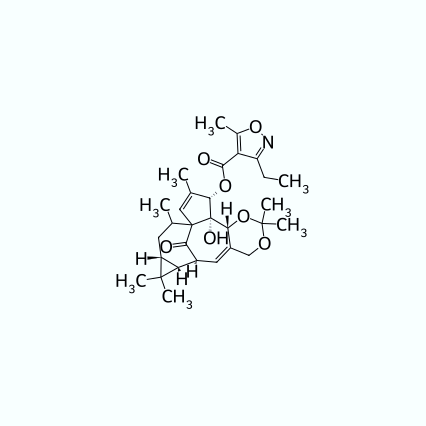 CCc1noc(C)c1C(=O)O[C@H]1C(C)=CC23C(=O)[C@@H](C=C4COC(C)(C)O[C@H]4[C@]12O)[C@H]1[C@@H](CC3C)C1(C)C